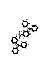 O=S(=S)(Oc1cccc(N(c2ccccc2)c2ccccc2)c1)c1cccc(N(c2ccccc2)c2ccccc2)c1